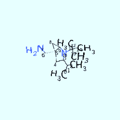 CC(C)C1C[C@@]2(CN)CC2N1C(C)(C)C